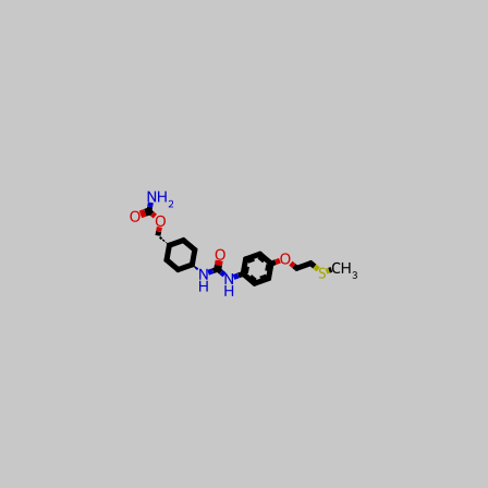 CSCCOc1ccc(NC(=O)N[C@H]2CC[C@@H](COC(N)=O)CC2)cc1